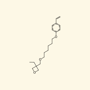 C=Cc1ccc(OCCCCCCOCC2(CC)COC2)cc1